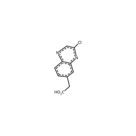 O=C(O)Cc1ccc2ncc(Cl)nc2c1